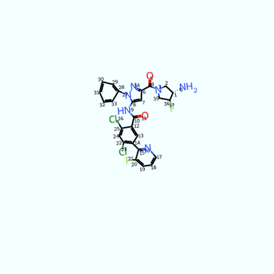 N[C@H]1CN(C(=O)c2cc(NC(=O)c3cc(-c4ncccc4F)c(Cl)cc3Cl)n(-c3ccccc3)n2)C[C@@H]1F